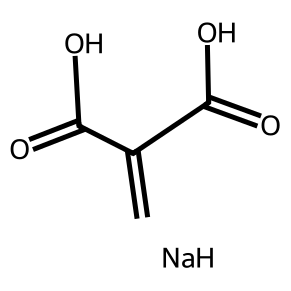 C=C(C(=O)O)C(=O)O.[NaH]